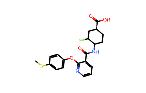 CSc1ccc(Oc2ncccc2C(=O)N[C@@H]2CC[C@H](C(=O)O)CC2F)cc1